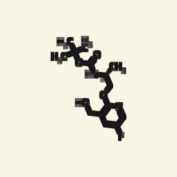 C[C@H](COc1ncc(F)cc1CO)NC(=O)OC(C)(C)C